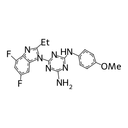 CCc1nc2c(F)cc(F)cc2n1-c1nc(N)nc(Nc2ccc(OC)cc2)n1